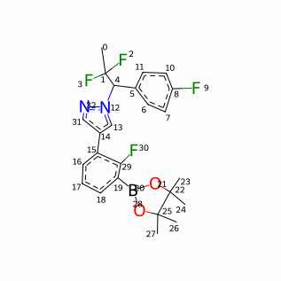 CC(F)(F)C(c1ccc(F)cc1)n1cc(-c2cccc(B3OC(C)(C)C(C)(C)O3)c2F)cn1